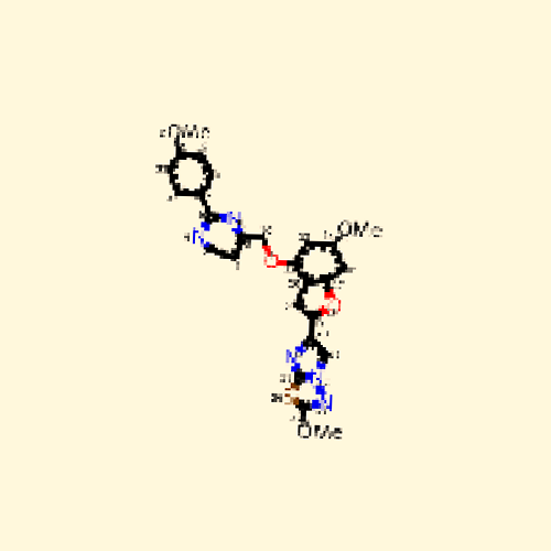 COc1ccc(-c2nccc(COc3cc(OC)cc4oc(-c5cn6nc(OC)sc6n5)cc34)n2)cc1